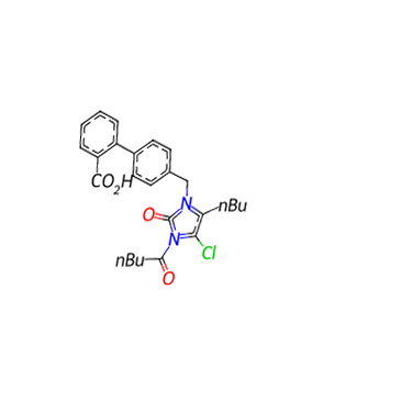 CCCCC(=O)n1c(Cl)c(CCCC)n(Cc2ccc(-c3ccccc3C(=O)O)cc2)c1=O